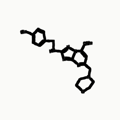 COc1cc(CN2CCOCC2)nc2nc(NCc3ccc(C(C)(C)C)cc3)nn12